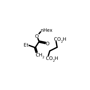 C=C(CC)C(=O)OCCCCCC.O=C(O)CCC(=O)O